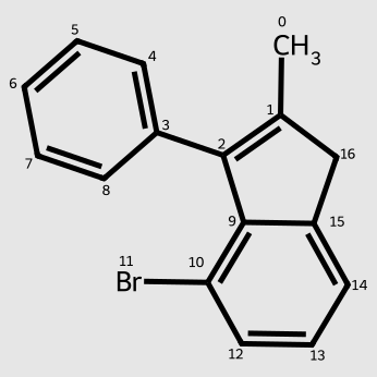 CC1=C(c2ccccc2)c2c(Br)cccc2C1